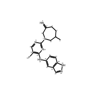 CC1CCC(=N)CN(c2ncc(F)c(Nc3ccc4[nH]ncc4c3)n2)C1